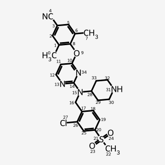 Cc1cc(C#N)cc(C)c1Oc1ccnc(N(Cc2ccc(S(C)(=O)=O)cc2Cl)C2CCNCC2)n1